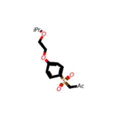 CC(=O)CS(=O)(=O)c1ccc(OCCOC(C)C)cc1